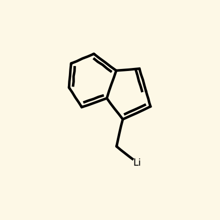 [Li][CH2]c1cccc2ccccc12